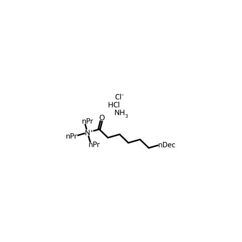 CCCCCCCCCCCCCCCC(=O)[N+](CCC)(CCC)CCC.Cl.N.[Cl-]